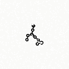 C1=Cc2c(c3ccccc3c3cc(-c4ccc(-c5nc(-c6ccc(-c7cccnc7)cc6)cc(-c6cccc(-c7ccccc7)c6)n5)cc4)ccc23)CCC1